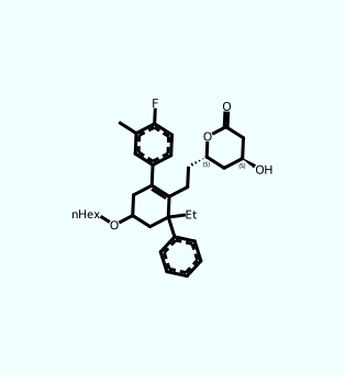 CCCCCCOC1CC(c2ccc(F)c(C)c2)=C(CC[C@H]2C[C@H](O)CC(=O)O2)C(CC)(c2ccccc2)C1